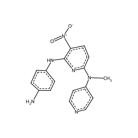 CN(c1ccncc1)c1ccc([N+](=O)[O-])c(Nc2ccc(N)cc2)n1